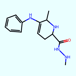 CNNC(=O)C1CC=C(Nc2ccccc2)C(C)N1